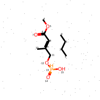 CCCC.COC(=O)/C=C(\C)CO[PH](=O)O